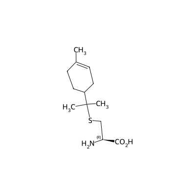 CC1=CCC(C(C)(C)SC[C@H](N)C(=O)O)CC1